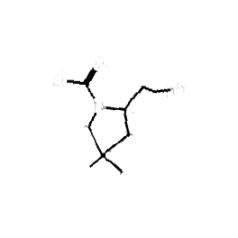 CCC(=O)N1CC(C)(C)CC1CC(C)C